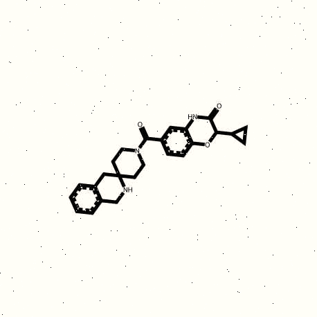 O=C1Nc2cc(C(=O)N3CCC4(CC3)Cc3ccccc3CN4)ccc2OC1C1CC1